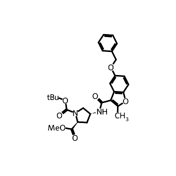 COC(=O)[C@@H]1C[C@@H](NC(=O)c2c(C)oc3ccc(OCc4ccccc4)cc23)CN1C(=O)OC(C)(C)C